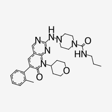 CCCNC(=O)N1CCN(Nc2ncc3cc(-c4ccccc4C)c(=O)n(C4CCOCC4)c3n2)CC1